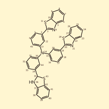 c1cc(-c2nc3ccccc3s2)cc(N(c2cccc(-c3nc4ccccc4s3)c2)c2cccc(C3Nc4ccccc4S3)c2)c1